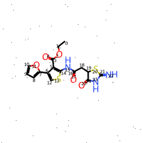 CCOC(=O)c1c(-c2ccco2)csc1NC(=O)CC1SC(=N)NC1=O